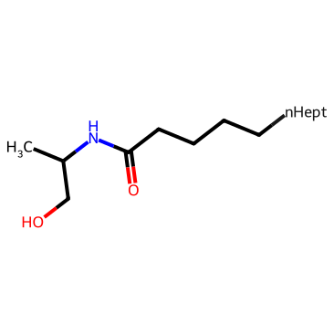 CCCCCCCCCCCC(=O)NC(C)CO